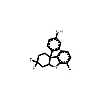 Oc1ccc(C23CCC(F)(F)CC2Oc2c(F)cccc23)cc1